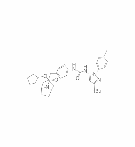 Cc1ccc(-n2nc(C(C)(C)C)cc2NC(=O)Nc2ccc(CC3CC4CCC(C3)N4C(=O)OC3CCCC3)cc2)cc1